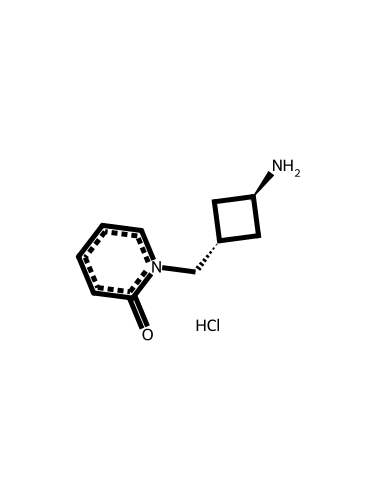 Cl.N[C@H]1C[C@H](Cn2ccccc2=O)C1